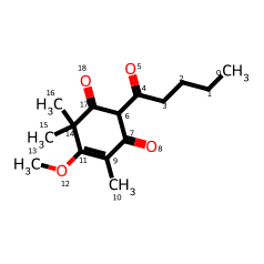 CCCCC(=O)C1C(=O)C(C)=C(OC)C(C)(C)C1=O